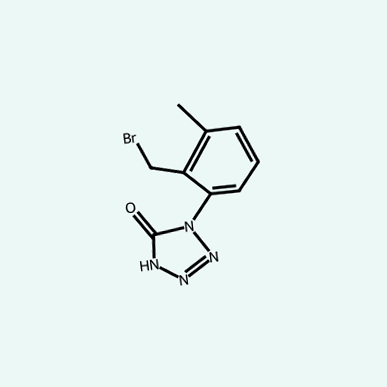 Cc1cccc(-n2nn[nH]c2=O)c1CBr